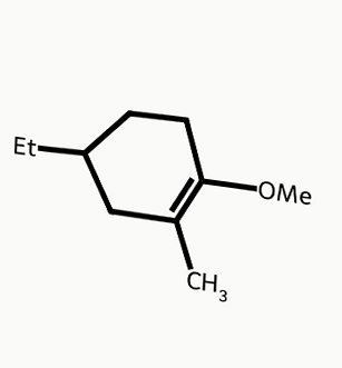 CCC1CCC(OC)=C(C)C1